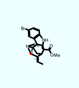 C/C=C1/CN2CC[C@]34C(=C(C(=O)OC)C1C[C@H]23)Nc1ccc(Br)cc14